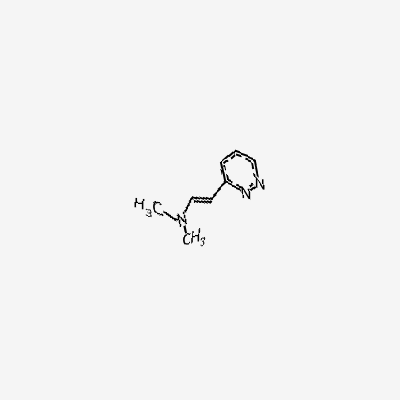 CN(C)/C=C/c1cccnn1